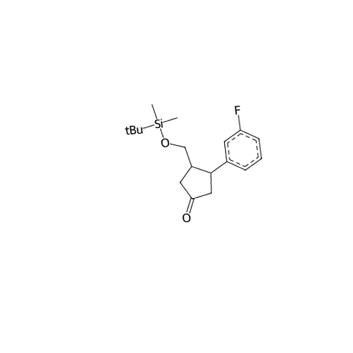 CC(C)(C)[Si](C)(C)OCC1CC(=O)CC1c1cccc(F)c1